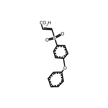 O=C(O)C=CS(=O)(=O)c1ccc(Oc2ccccc2)cc1